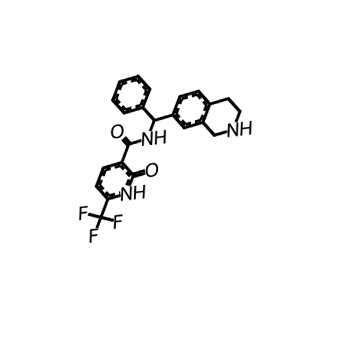 O=C(NC(c1ccccc1)c1ccc2c(c1)CNCC2)c1ccc(C(F)(F)F)[nH]c1=O